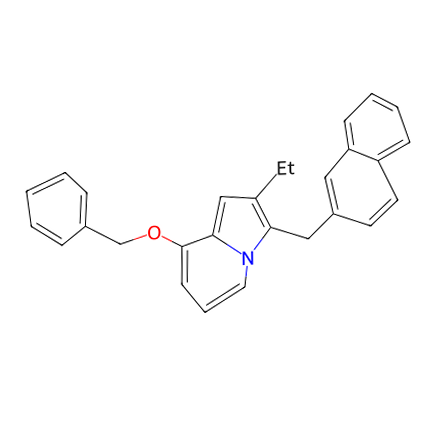 CCc1cc2c(OCc3ccccc3)cccn2c1Cc1ccc2ccccc2c1